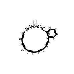 C1=CC=CC=Cc2ccccc2OONN=NC=CC=C1